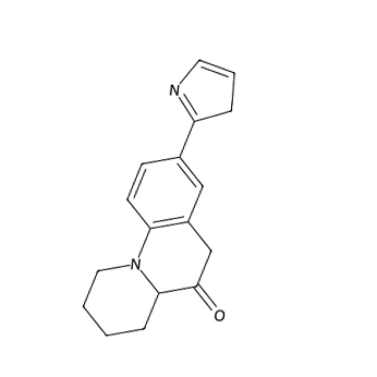 O=C1Cc2cc(C3=NC=CC3)ccc2N2CCCCC12